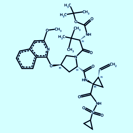 C=C[C@@H]1C[C@]1(NC(=O)[C@@H]1C[C@@H](Oc2nc(OC)cc3ccccc23)CN1C(=O)[C@@H](NC(=O)OC(C)(C)C)C(C)(C)C)C(=O)NS(=O)(=O)C1CC1